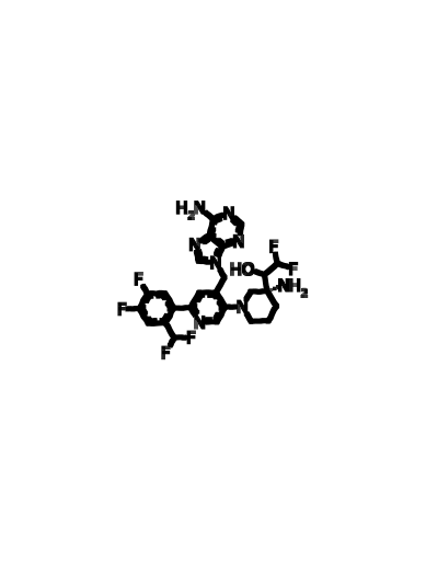 Nc1ncnc2c1ncn2Cc1cc(-c2cc(F)c(F)cc2C(F)F)ncc1N1CCC[C@](N)(C(O)C(F)F)C1